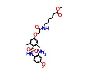 COC(=O)CCCCCNC(=O)COc1cc(C)c(S(=O)(=O)Nc2ccc(OC)cc2N)c(C)c1